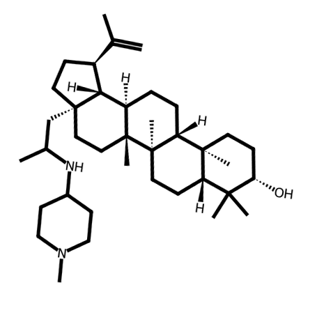 C=C(C)[C@@H]1CC[C@]2(CC(C)NC3CCN(C)CC3)CC[C@]3(C)[C@H](CC[C@@H]4[C@@]5(C)CC[C@H](O)C(C)(C)[C@@H]5CC[C@]43C)[C@@H]12